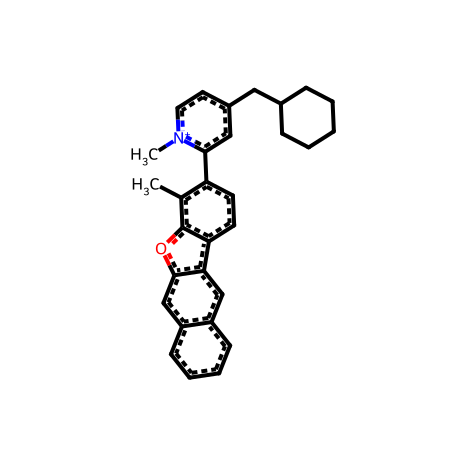 Cc1c(-c2cc(CC3CCCCC3)cc[n+]2C)ccc2c1oc1cc3ccccc3cc12